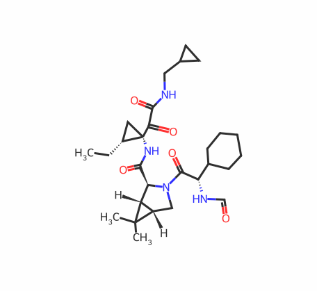 CC[C@@H]1C[C@@]1(NC(=O)[C@@H]1[C@@H]2[C@H](CN1C(=O)[C@@H](NC=O)C1CCCCC1)C2(C)C)C(=O)C(=O)NCC1CC1